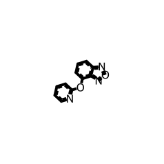 c1ccc(Oc2cccc3nonc23)nc1